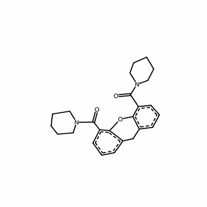 O=C(c1cccc2c1Oc1c(cccc1C(=O)N1CCCCC1)C2)N1CCCCC1